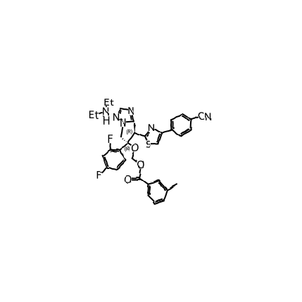 CCNCC.Cc1cccc(C(=O)OCO[C@@](Cn2cncn2)(c2ccc(F)cc2F)[C@@H](C)c2nc(-c3ccc(C#N)cc3)cs2)c1